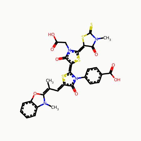 C/C(C=c1s/c(=c2/s/c(=C3/SC(=S)N(C)C3=O)n(CC(=O)O)c2=O)n(-c2ccc(C(=O)O)cc2)c1=O)=C1\Oc2ccccc2N1C